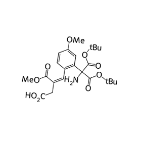 COC(=O)C(=Cc1ccc(OC)cc1C(N)(C(=O)OC(C)(C)C)C(=O)OC(C)(C)C)CC(=O)O